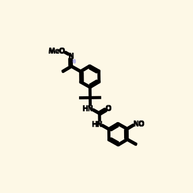 CO/N=C(\C)c1cccc(C(C)(C)NC(=O)Nc2ccc(C)c(N=O)c2)c1